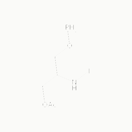 CC(=O)OCC(COP)NI